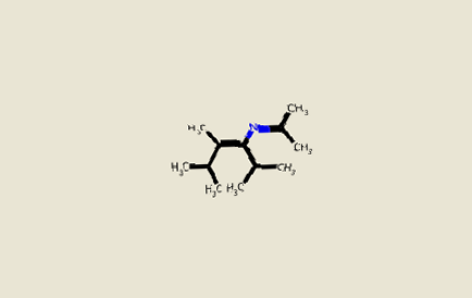 CC(C)=N/C(=C(\C)C(C)C)C(C)C